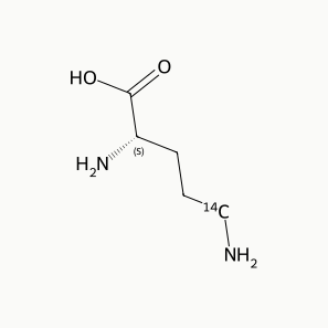 N[14CH2]CC[C@H](N)C(=O)O